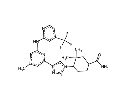 Cc1cc(Nc2cc(C(F)(F)F)ccn2)nc(-c2cn(C3CCC(C(N)=O)CC3(C)C)nn2)c1